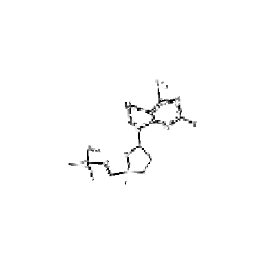 CC(C)(C)[Si](C)(C)OC[C@]1(C)CC[C@H](n2cnc3c(N)nc(F)nc32)O1